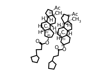 CC(=O)[C@H]1CC[C@H]2[C@@H]3CC[C@H]4C[C@H](OC(=O)CCC5CCCC5)CC[C@]4(C)[C@H]3CC[C@]12C.CC(=O)[C@H]1CC[C@H]2[C@@H]3CC[C@H]4C[C@H](OC(=O)CCC5CCCC5)CC[C@]4(C)[C@H]3CC[C@]12C